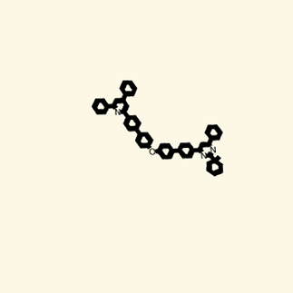 CC1(c2nc(-c3ccccc3)cc(-c3ccc(-c4ccc(Oc5ccc(-c6ccc(-c7cc(-c8ccccc8)cc(-c8ccccc8)n7)cc6)cc5)cc4)cc3)n2)C=CC=CC1